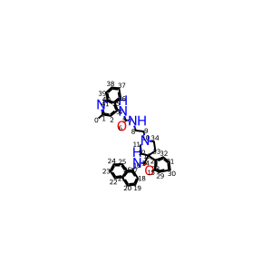 Cc1cc(NC(=O)NCCN2CCC(C(=O)Nc3cccc4ccccc34)(c3ccccc3)CC2)c2ccccc2n1